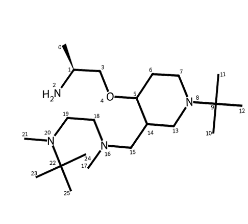 C[C@H](N)COC1CCN(C(C)(C)C)CC1CN(C)CCN(C)C(C)(C)C